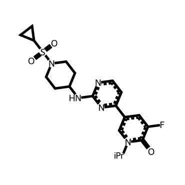 CC(C)n1cc(-c2ccnc(NC3CCN(S(=O)(=O)C4CC4)CC3)n2)cc(F)c1=O